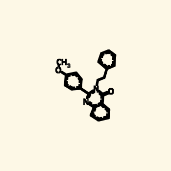 COc1ccc(-c2nc3ccccc3c(=O)n2CCc2ccccc2)cc1